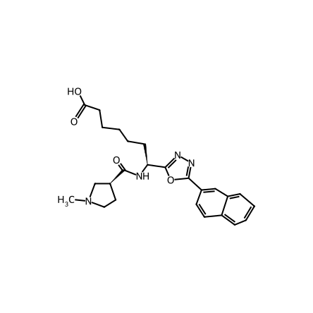 CN1CC[C@H](C(=O)N[C@@H](CCCCCC(=O)O)c2nnc(-c3ccc4ccccc4c3)o2)C1